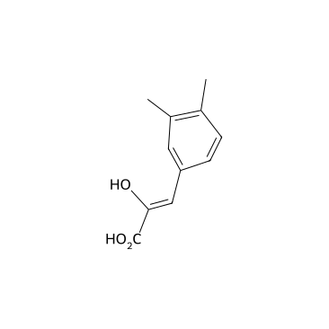 Cc1ccc(C=C(O)C(=O)O)cc1C